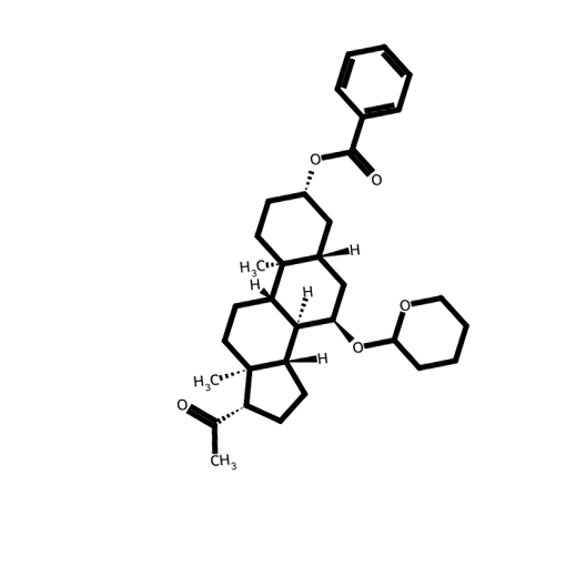 CC(=O)[C@H]1CC[C@H]2[C@@H]3[C@H](OC4CCCCO4)C[C@H]4C[C@@H](OC(=O)c5ccccc5)CC[C@]4(C)[C@H]3CC[C@]12C